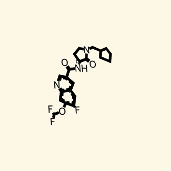 O=C(N[C@H]1CCN(CC2CCCC2)C1=O)c1cnc2cc(OC(F)F)c(F)cc2c1